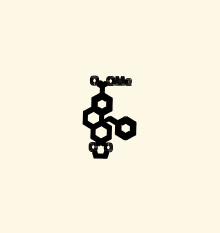 COC(=O)c1ccc2c(c1)CCC1CC3(CC[C@@]21Cc1ccccc1)OCCO3